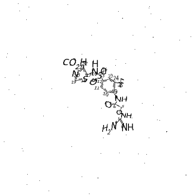 N=C(N)NOCC(=O)Nc1ccc(S(=O)(=O)Nc2scnc2C(=O)O)cc1F